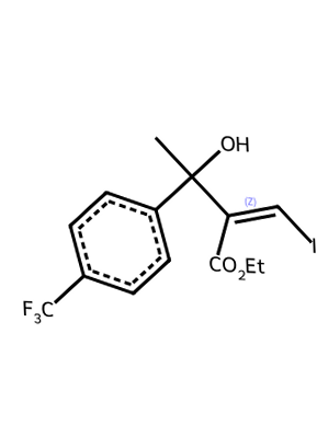 CCOC(=O)/C(=C\I)C(C)(O)c1ccc(C(F)(F)F)cc1